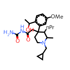 CCCC1C(C)N(CC2CC2)CCC1(CC(=O)NC(N)=O)c1cc(OC)ccc1C(C)O